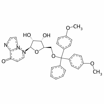 COc1ccc(C(OC[C@H]2O[C@@H](n3ccc(=O)c4nccn43)[C@H](O)[C@@H]2O)(c2ccccc2)c2ccc(OC)cc2)cc1